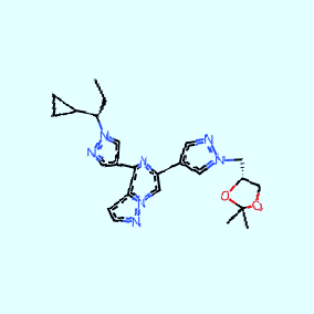 CC[C@H](C1CC1)n1cc(-c2nc(-c3cnn(C[C@@H]4COC(C)(C)O4)c3)cn3nccc23)cn1